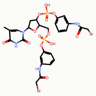 Cc1cn(C2CC(OP(=O)(O)Oc3cccc(NC(=O)CBr)c3)C(COP(=O)(O)Oc3cccc(NC(=O)CBr)c3)O2)c(=O)[nH]c1=O